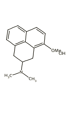 COc1ccc2cccc3c2c1CC(N(C)C)C3.Cl